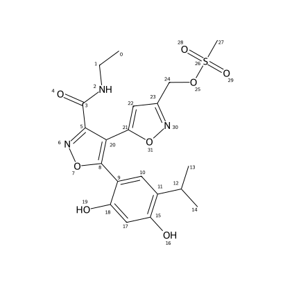 CCNC(=O)c1noc(-c2cc(C(C)C)c(O)cc2O)c1-c1cc(COS(C)(=O)=O)no1